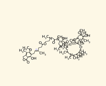 COc1c(C)c2c(c(O)c1C/C=C(\C)CCC(=O)OCCN(C)CC(=O)N(C)C1C[C@@H](C)O[C@@H](O[C@@H]3[C@@H](C)[C@H](O[C@H]4C[C@@](C)(OC)[C@@H](O)[C@H](C)O4)[C@@H](C)C(=O)O[C@H](I)[C@@](C)(O)[C@H](O)[C@@H](C)N(C)C[C@H](C)C[C@@]3(C)O)[C@@H]1O)C(=O)OC2